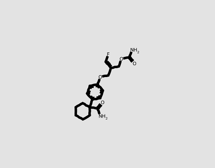 NC(=O)OCC(=CF)COc1ccc(C2(C(N)=O)CCCCC2)cc1